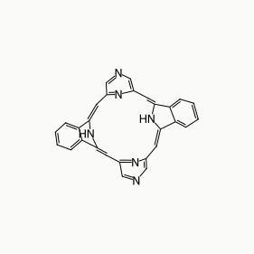 c1ccc2c3cc4cncc(cc5[nH]c(cc6cncc(cc([nH]3)c2c1)n6)c1ccccc51)n4